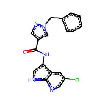 O=C(Nc1c[nH]c2ncc(Cl)cc12)c1cnn(Cc2ccccc2)c1